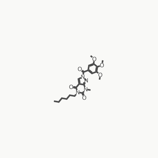 CCCCCCn1c(=O)c2cn(C(=O)c3cc(OC)c(OC)c(OC)c3)nc2n(C)c1=O